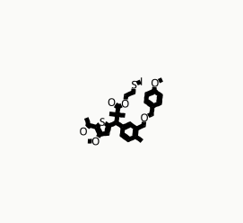 COc1ccc(COCc2cc(C(c3cc(OC)c(C(C)=O)s3)C(C)(C)C(=O)OCCSI)ccc2C)cc1